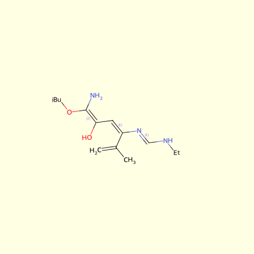 C=C(C)C(=C\C(O)=C(/N)OC(C)CC)/N=C/NCC